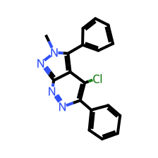 Cn1nc2nnc(-c3ccccc3)c(Cl)c2c1-c1ccccc1